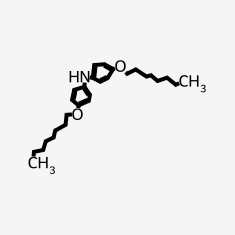 CCCCCCCCOc1ccc(Nc2ccc(OCCCCCCCC)cc2)cc1